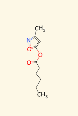 CCCCCC(=O)Oc1cc(C)no1